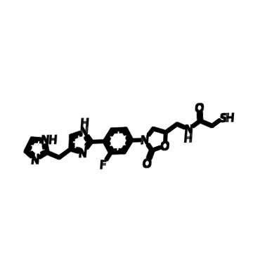 O=C(CS)NCC1CN(c2ccc(-c3nc(Cc4ncc[nH]4)c[nH]3)c(F)c2)C(=O)O1